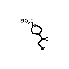 CCOC(=O)N1CCC(C(=O)CBr)CC1